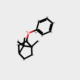 CC1(C)C2CCC1(C)C(Oc1c[c]ccc1)C2